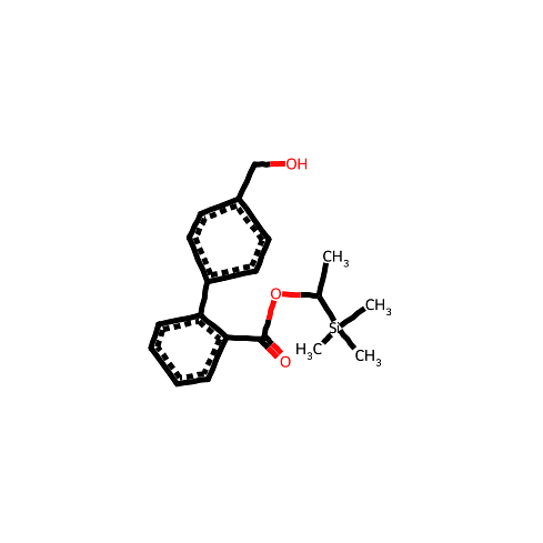 CC(OC(=O)c1ccccc1-c1ccc(CO)cc1)[Si](C)(C)C